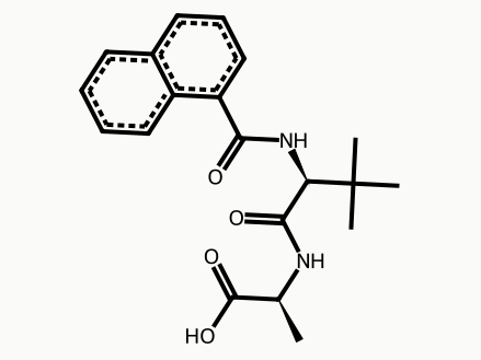 C[C@H](NC(=O)[C@@H](NC(=O)c1cccc2ccccc12)C(C)(C)C)C(=O)O